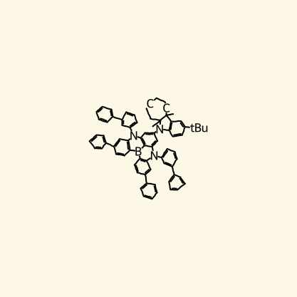 CC(C)(C)c1ccc2c(c1)C1(C)CCCCCCC1(C)N2c1cc2c3c(c1)N(c1cccc(-c4ccccc4)c1)c1cc(-c4ccccc4)ccc1B3c1ccc(-c3ccccc3)cc1N2c1cccc(-c2ccccc2)c1